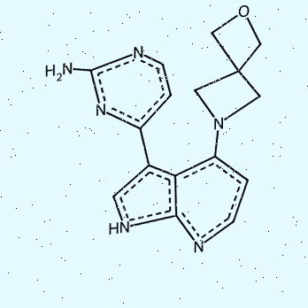 Nc1nccc(-c2c[nH]c3nccc(N4CC5(COC5)C4)c23)n1